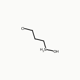 O[SiH2]CCCCl